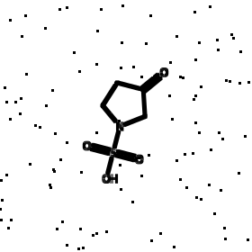 O=C1CCN(S(=O)(=O)O)C1